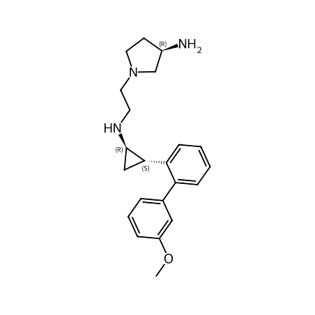 COc1cccc(-c2ccccc2[C@@H]2C[C@H]2NCCN2CC[C@@H](N)C2)c1